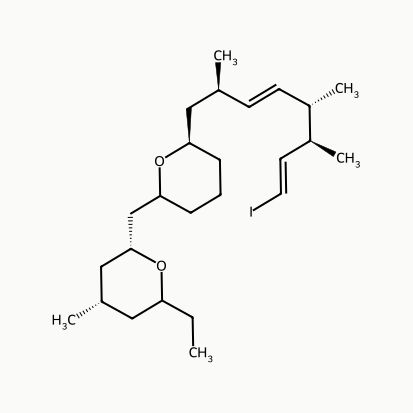 CCC1C[C@H](C)C[C@H](CC2CCC[C@H](C[C@@H](C)/C=C/[C@H](C)[C@@H](C)/C=C/I)O2)O1